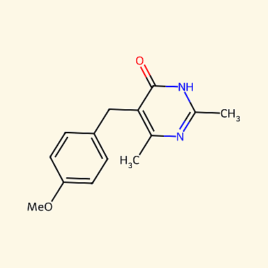 COc1ccc(Cc2c(C)nc(C)[nH]c2=O)cc1